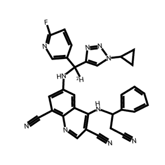 [2H]C(Nc1cc(C#N)c2ncc(C#N)c(NC(CC#N)c3ccccc3)c2c1)(c1ccc(F)nc1)c1cn(C2CC2)nn1